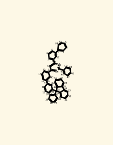 c1ccc(-c2cccc(-c3cc(-c4cccc(-c5cccc(C6(c7ccccc7)c7ccccc7-c7ccccc76)c5)c4)nc(-c4ccccc4)n3)c2)cc1